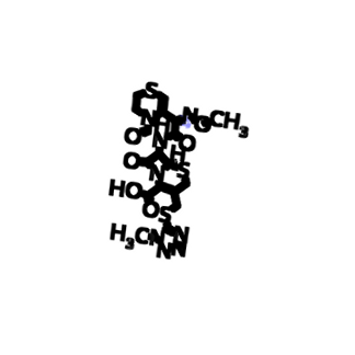 CO/N=C(\C(=O)NC1C(=O)N2C(C(=O)O)=C(CSc3nnnn3C)CS[C@H]12)C1=CSCCN1C=O